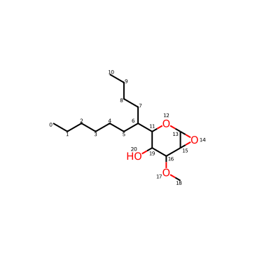 CCCCCCC(CCCC)C1OC2OC2C(OC)C1O